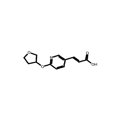 O=C(O)/C=C/c1ccc(OC2CCOC2)nc1